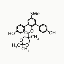 CSc1cc(-c2ccc(O)cc2)c(OC(=O)C2(C)COC(C)(C)OC2)c(-c2ccc(O)cc2)c1